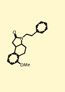 COc1cccc2c1CCC1C2CC(=O)N1CCc1ccccc1